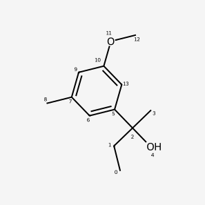 CCC(C)(O)c1cc(C)cc(OC)c1